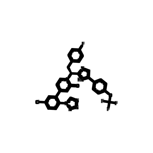 O=c1cc(-c2cc(Cl)ccc2-n2cnnn2)ccn1[C@@H](Cc1ccc(F)cc1)c1ncc(-c2ccc(OC(F)(F)F)cc2)[nH]1